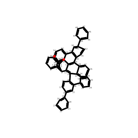 O=C1C(=O)C2c3ccccc3C1c1c2c(-c2ccc(-c3ccccc3)cc2-c2ccccc2)c2ccccc2c1-c1ccc(-c2ccccc2)cc1-c1ccccc1